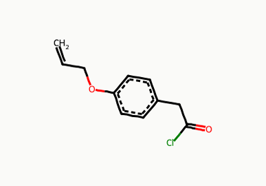 C=CCOc1ccc(CC(=O)Cl)cc1